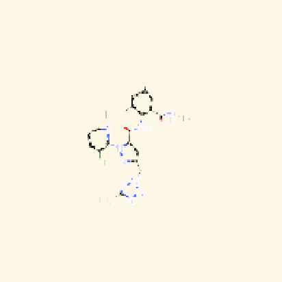 CC(=O)c1cc(C)c(NC(=O)c2cc(Cn3nnc(C)n3)nn2-c2ncccc2Cl)c(C(=O)NC(C)(C)C)c1